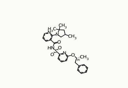 CC1CN(c2ncccc2C(=O)NS(=O)(=O)c2cccc(O[C@H](C)Cc3ccccc3)n2)C(C)(C)C1